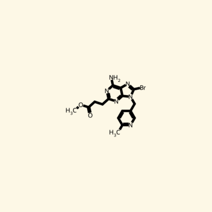 COC(=O)CCc1nc(N)c2nc(Br)n(Cc3ccc(C)nc3)c2n1